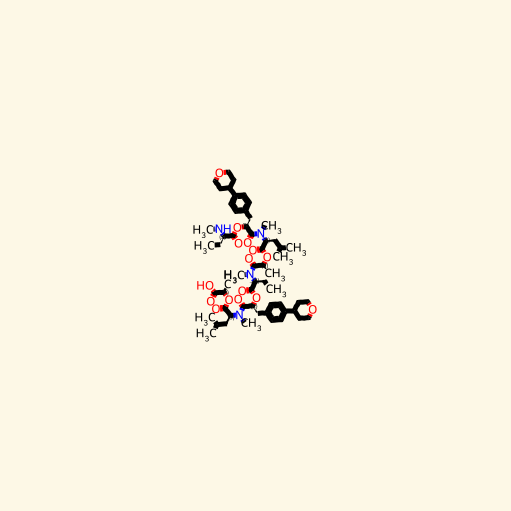 CC[C@H](NC)C(=O)O[C@H](Cc1ccc(C2CCOCC2)cc1)C(=O)N(C)[C@@H](CC(C)C)C(=O)O[C@H](C)C(=O)N(C)[C@@H](CC)C(=O)O[C@H](Cc1ccc(C2CCOCC2)cc1)C(=O)N(C)[C@@H](CC(C)C)C(=O)O[C@H](C)C(=O)O